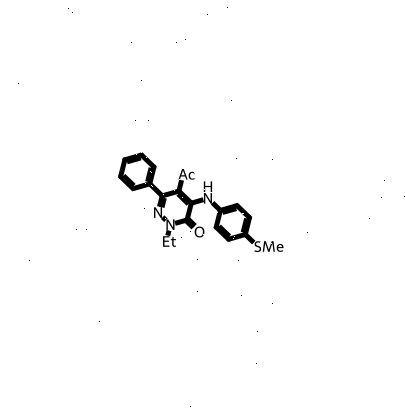 CCn1nc(-c2ccccc2)c(C(C)=O)c(Nc2ccc(SC)cc2)c1=O